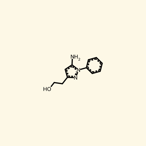 Nc1cc(CCO)nn1-c1ccccc1